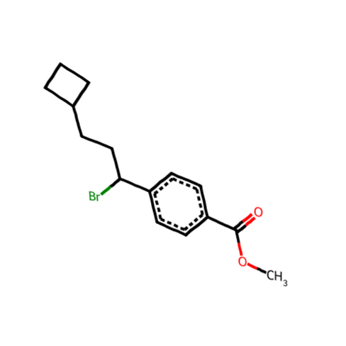 COC(=O)c1ccc(C(Br)CCC2CCC2)cc1